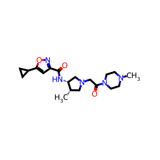 C[C@H]1CN(CC(=O)N2CCN(C)CC2)C[C@H]1NC(=O)c1cc(C2CC2)on1